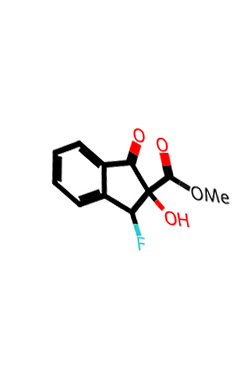 COC(=O)C1(O)C(=O)c2ccccc2C1F